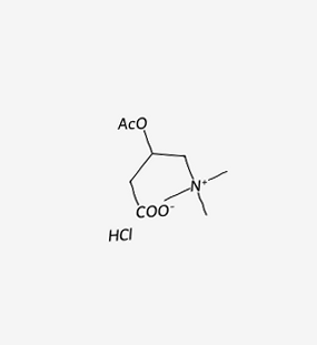 C[13C](=O)OC(CC(=O)[O-])C[N+](C)(C)C.Cl